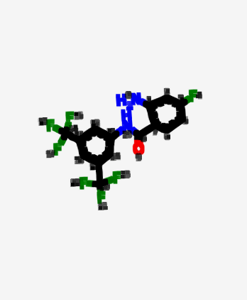 Nc1cc(F)ccc1C(=O)Nc1cc(C(F)(F)F)cc(C(F)(F)F)c1